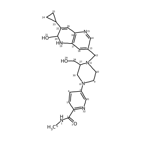 CNC(=O)c1ccc(N2CCN(Cc3cnc4c(c3)NC(O)C(C3CC3)=C4)C(CO)C2)cn1